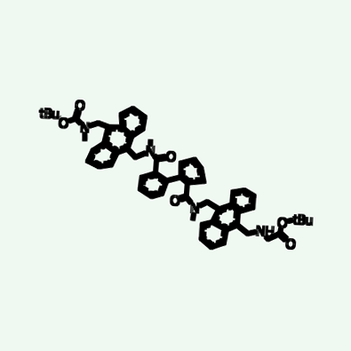 CN(Cc1c2ccccc2c(CN(C)C(=O)c2ccccc2-c2ccccc2C(=O)N(C)Cc2c3ccccc3c(CNCC(=O)OC(C)(C)C)c3ccccc23)c2ccccc12)C(=O)OC(C)(C)C